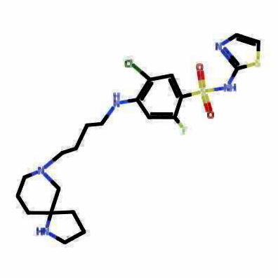 O=S(=O)(Nc1nccs1)c1cc(Cl)c(NCCCCN2CCCC3(CCCN3)C2)cc1F